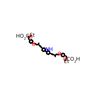 CCOC(Cc1ccc(OCC=C(C)C#Cc2ccc3c(c2)[nH]c2cc(C#CC(C)=CCOc4ccc(CC(OCC)C(=O)O)cc4)ccc23)cc1)C(=O)O